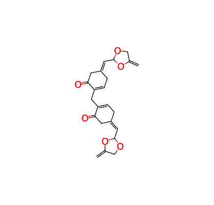 C=C1COC(C=C2CC=C(CC3=CCC(=CC4OCC(=C)O4)CC3=O)C(=O)C2)O1